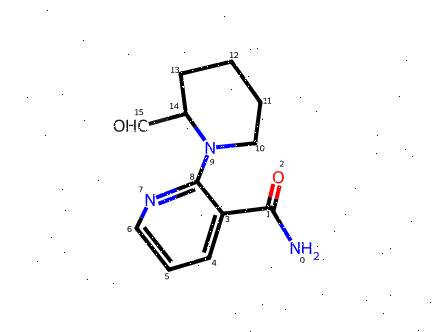 NC(=O)c1cccnc1N1CCCCC1C=O